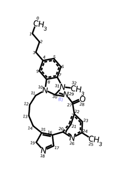 CCCCc1ccc2c(c1)N1CCCCC3=C(C=NC3)c3cc(cc(C)n3)C(=O)/N=C/1N2C